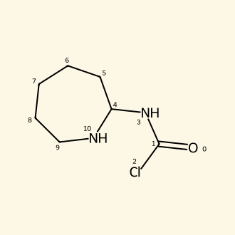 O=C(Cl)NC1CCCCCN1